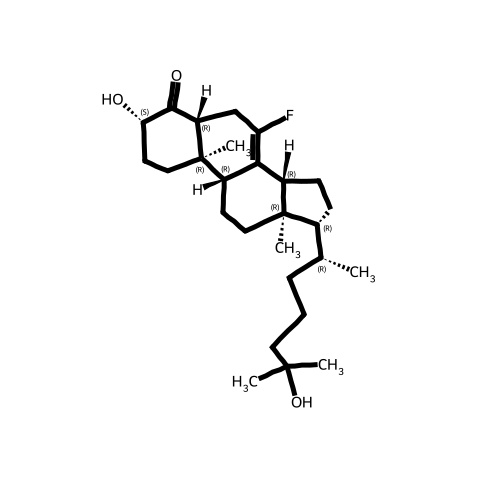 C[C@H](CCCC(C)(C)O)[C@H]1CC[C@H]2C3=C(F)C[C@H]4C(=O)[C@@H](O)CC[C@]4(C)[C@H]3CC[C@]12C